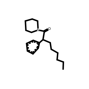 CCCCCCC(C(=O)N1CCCCC1)c1ccccc1